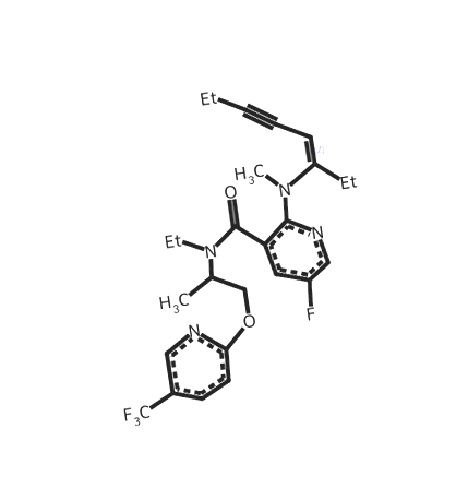 CCC#C/C=C(/CC)N(C)c1ncc(F)cc1C(=O)N(CC)C(C)COc1ccc(C(F)(F)F)cn1